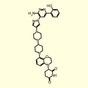 Nc1nnc(-c2ccccc2O)cc1-n1cc(N2CCN(C3CCN(c4cccc5c4OCCN5[C@@H]4CCC(=O)NC4=O)CC3)CC2)cn1